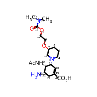 CC(=O)N[C@@H]1[C@H](N2CCC[C@H](OCCOC(=O)N(C)C)C2)C=C(C(=O)O)C[C@@H]1N